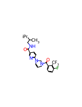 CC(C)C(C)CNC(=O)c1ccc(N2C=CCN(C(=O)c3cccc(F)c3C(F)(F)F)C2)nc1